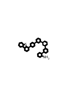 Nc1ccccc1-c1cccc(C2=CC=CC(c3cccc(-c4ccc(-c5cccc6c5sc5ccccc56)cc4)c3)C2)c1